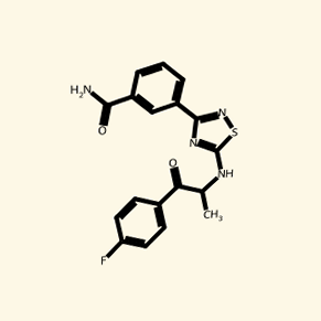 CC(Nc1nc(-c2cccc(C(N)=O)c2)ns1)C(=O)c1ccc(F)cc1